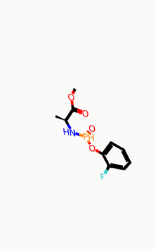 COC(=O)[C@H](C)N[PH](=O)Oc1ccccc1F